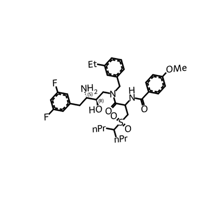 CCCC(CCC)S(=O)(=O)CC(NC(=O)c1ccc(OC)cc1)C(=O)N(Cc1cccc(CC)c1)C[C@@H](O)[C@@H](N)Cc1cc(F)cc(F)c1